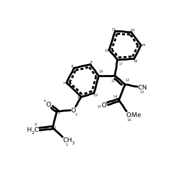 C=C(C)C(=O)Oc1cccc(C(=C(C#N)C(=O)OC)c2ccccc2)c1